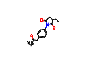 BC(=O)Cc1ccc(N2C(=O)CC(CC)C2=O)cc1